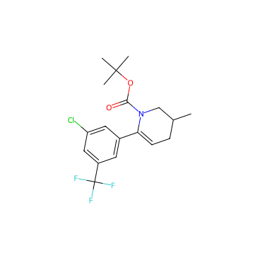 CC1CC=C(c2cc(Cl)cc(C(F)(F)F)c2)N(C(=O)OC(C)(C)C)C1